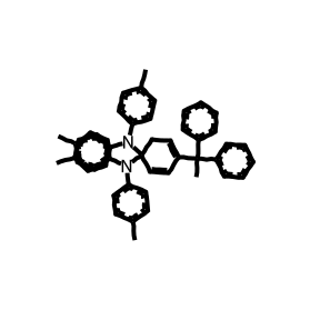 Cc1ccc(N(c2ccc(C)cc2)C2(N(c3ccc(C)cc3)c3ccc(C)cc3)C=CC(C(C)(c3ccccc3)c3ccccc3)=CC2)cc1